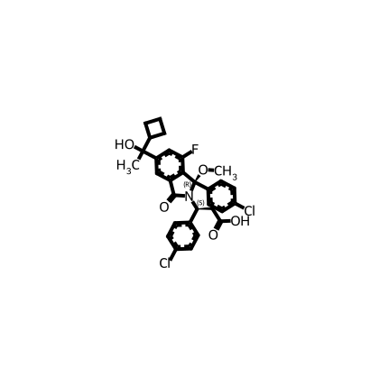 CO[C@]1(c2ccc(Cl)cc2)c2c(F)cc(C(C)(O)C3CCC3)cc2C(=O)N1[C@@H](CC(=O)O)c1ccc(Cl)cc1